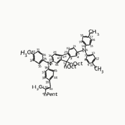 CCCCCCCCC1(CCCCCCCC)c2cc(N(c3ccc(C)cc3)c3ccc(C)cc3)ccc2-c2ccc(N(c3ccc(C)cc3)c3ccc(C=C(C)CCCCC)cc3)cc21